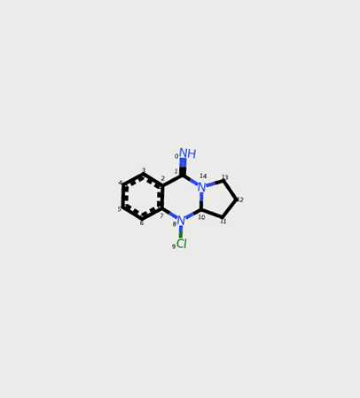 N=C1c2ccccc2N(Cl)C2CCCN12